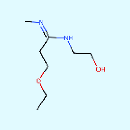 CCOCC/C(=N\C)NCCO